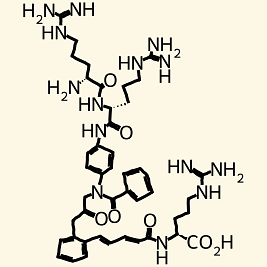 N=C(N)NCCC[C@@H](N)C(=O)N[C@H](CCCNC(=N)N)C(=O)Nc1ccc(N(CC(=O)Cc2ccccc2/C=C/C=C/C(=O)N[C@@H](CCCNC(=N)N)C(=O)O)C(=O)c2ccccc2)cc1